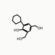 OCc1cc(CO)c(O)c(C2CCCCC2)c1